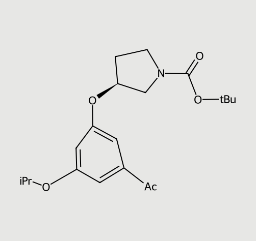 CC(=O)c1cc(OC(C)C)cc(O[C@H]2CCN(C(=O)OC(C)(C)C)C2)c1